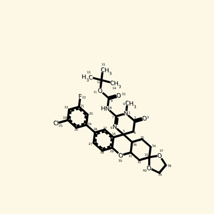 CN1C(=O)CC2(N=C1NC(=O)OC(C)(C)C)c1cc(-c3cc(F)cc(Cl)c3)ccc1OC1CC3(CCC12)OCCO3